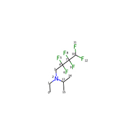 CCN(CC(F)(F)C(F)(F)C(F)F)C(C)C